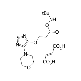 CC(C)(C)NOC(=O)CCOc1nsnc1N1CCOCC1.O=C(O)C=CC(=O)O